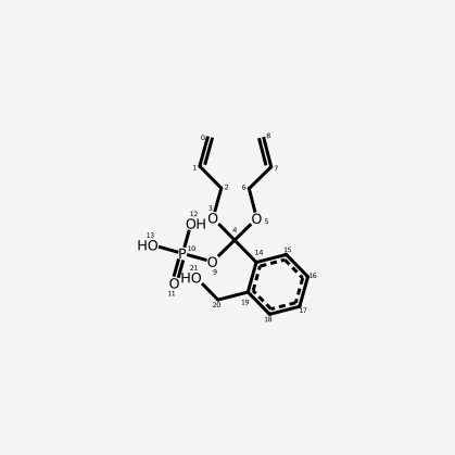 C=CCOC(OCC=C)(OP(=O)(O)O)c1ccccc1CO